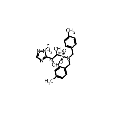 Cc1ccc(CN(Cc2ccc(C)cc2)S(=O)(=O)[C@H](C)[C@@H](O)c2ncnn2C)cc1